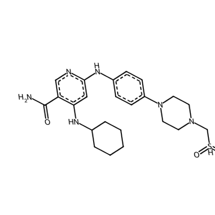 NC(=O)c1cnc(Nc2ccc(N3CCN(C[SH](=O)=O)CC3)cc2)cc1NC1CCCCC1